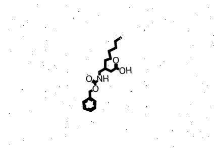 CCCCCCC(CNC(=O)OCc1ccccc1)CC(=O)O